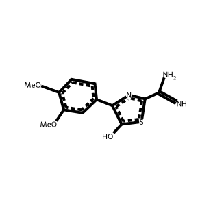 COc1ccc(-c2nc(C(=N)N)sc2O)cc1OC